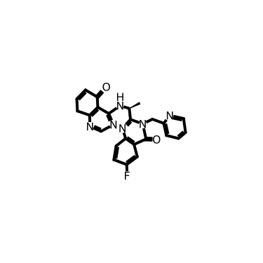 C[C@H](Nc1ncnc2c1C(=O)C=CC2)c1nc2ccc(F)cc2c(=O)n1Cc1ccccn1